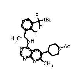 CC(=O)N1CCC(c2cc3c(N[C@H](C)c4cccc(C(F)(F)C(C)(C)C)c4F)ncnc3nc2C)CC1